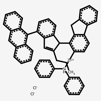 CCCC1=Cc2c(-c3c4ccccc4cc4ccccc34)cccc2C1c1[c]([Zr+2][SiH](c2ccccc2)c2ccccc2)ccc2c1Cc1ccccc1-2.[Cl-].[Cl-]